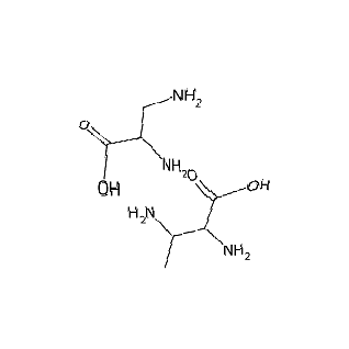 CC(N)C(N)C(=O)O.NCC(N)C(=O)O